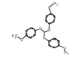 FC(F)(F)Oc1ccc(OB(Oc2ccc(OC(F)(F)F)cc2)Oc2ccc(OC(F)(F)F)cc2)cc1